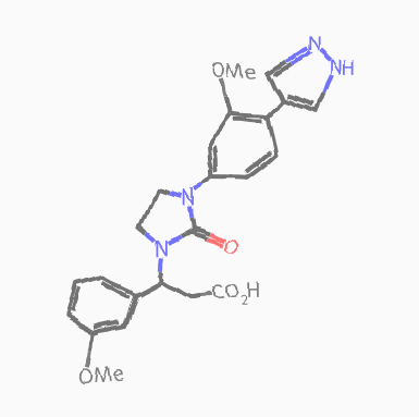 COc1cccc(C(CC(=O)O)N2CCN(c3ccc(-c4cn[nH]c4)c(OC)c3)C2=O)c1